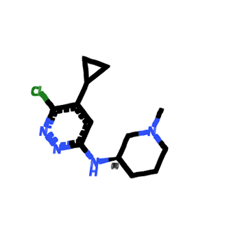 CN1CCC[C@@H](Nc2cc(C3CC3)c(Cl)nn2)C1